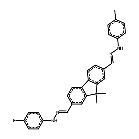 Cc1ccc(N/N=C/c2ccc3c(c2)C(C)(C)c2cc(/C=N/Nc4ccc(F)cc4)ccc2-3)cc1